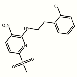 CS(=O)(=O)c1ccc([N+](=O)[O-])c(NCCc2ccccc2Cl)n1